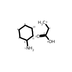 CCC(=O)O.NC1CCCCC1